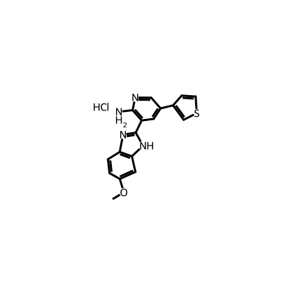 COc1ccc2nc(-c3cc(-c4ccsc4)cnc3N)[nH]c2c1.Cl